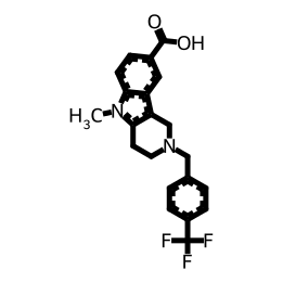 Cn1c2c(c3cc(C(=O)O)ccc31)CN(Cc1ccc(C(F)(F)F)cc1)CC2